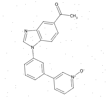 CC(=O)c1ccc2c(c1)ncn2-c1cccc(-c2ccc[n+]([O-])c2)c1